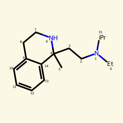 CCN(CCC1(C)NCCc2ccccc21)C(C)C